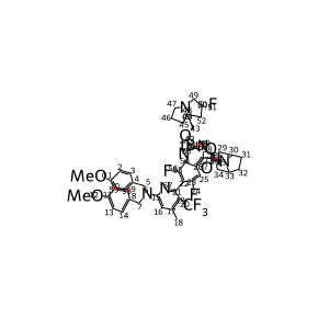 COc1ccc(CN(Cc2ccc(OC)cc2)c2cc(C)c(C(F)(F)F)c(-c3c(F)cc4c(N5CC6CCC(C5)N6C(=O)OC(C)(C)C)nc(OC[C@@]56CCCN5C[C@H](F)C6)nc4c3F)n2)cc1